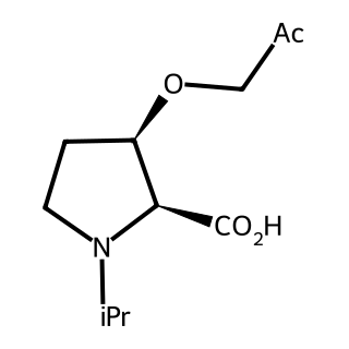 CC(=O)CO[C@@H]1CCN(C(C)C)[C@@H]1C(=O)O